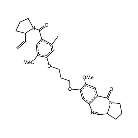 C=CC1CCCN1C(=O)c1cc(OC)c(OCCCOc2cc3c(cc2OC)C(=O)N2CCCC2C=N3)cc1C